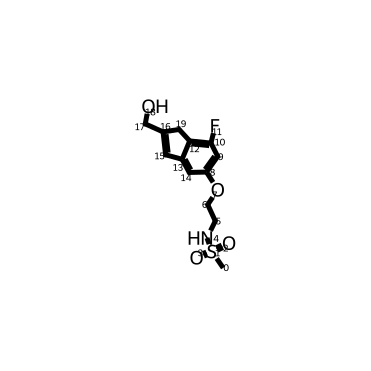 CS(=O)(=O)NCCOc1cc(F)c2c(c1)C=C(CO)C2